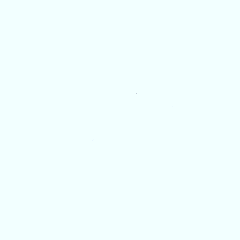 CCOC(=O)c1ccc2nc(NC3CCNCC3)sc2c1